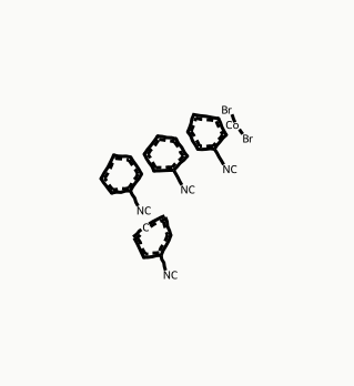 [Br][Co][Br].[C-]#[N+]c1ccccc1.[C-]#[N+]c1ccccc1.[C-]#[N+]c1ccccc1.[C-]#[N+]c1ccccc1